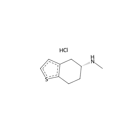 CN[C@@H]1CCc2sccc2C1.Cl